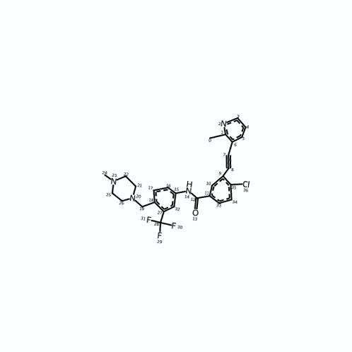 Cc1ncccc1C#Cc1cc(C(=O)Nc2ccc(CN3CCN(C)CC3)c(C(F)(F)F)c2)ccc1Cl